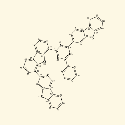 c1ccc(-c2nc(-c3ccc4c(c3)sc3ccccc34)nc(-c3cccc4c3oc3c(-c5ccc6c(c5)sc5ccccc56)cccc34)n2)cc1